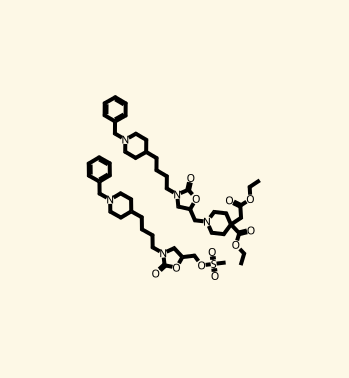 CCOC(=O)CC1(C(=O)OCC)CCN(CC2CN(CCCCC3CCN(Cc4ccccc4)CC3)C(=O)O2)CC1.CS(=O)(=O)OCC1CN(CCCCC2CCN(Cc3ccccc3)CC2)C(=O)O1